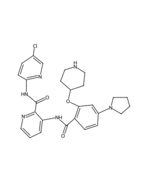 O=C(Nc1cccnc1C(=O)Nc1ccc(Cl)cn1)c1ccc(N2CCCC2)cc1OC1CCNCC1